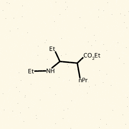 CCCC(C(=O)OCC)C(CC)NCC